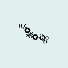 CCN1C[C@H](c2ccc(OS(=O)(=O)c3ccc(C)cc3)cc2)OCC1=O